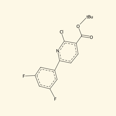 CC(C)(C)OC(=O)c1ccc(-c2cc(F)cc(F)c2)nc1Cl